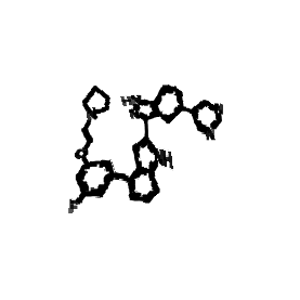 Fc1cc(OCCN2CCCC2)cc(-c2cccc3[nH]c(-c4n[nH]c5ccc(-c6cncnc6)cc45)cc23)c1